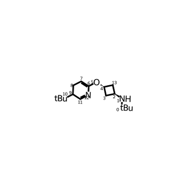 CC(C)(C)N[C@H]1C[C@H](OC2=CCC(C(C)(C)C)C=N2)C1